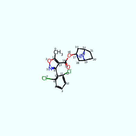 Cc1onc(-c2c(Cl)cccc2Cl)c1C(=O)OC1CC2CCC(C1)N2